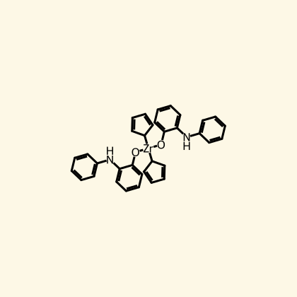 C1=C[CH]([Zr]([O]c2ccccc2Nc2ccccc2)([O]c2ccccc2Nc2ccccc2)[CH]2C=CC=C2)C=C1